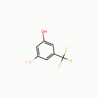 Bc1cc(O)cc(C(F)(F)F)c1